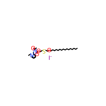 CCCCCCCCCCCCCCCCOCCSCCOC(=O)N(Cc1cccc[n+]1CC)C(C)=O.[I-]